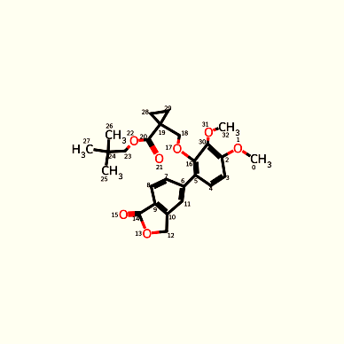 COc1ccc(-c2ccc3c(c2)COC3=O)c(OCC2(C(=O)OCC(C)(C)C)CC2)c1OC